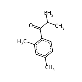 BC(C)C(=O)c1ccc(C)cc1C